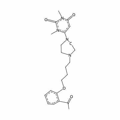 CC(=O)c1ccccc1OCCCCN1CCN(c2cc(=O)n(C)c(=O)n2C)CC1